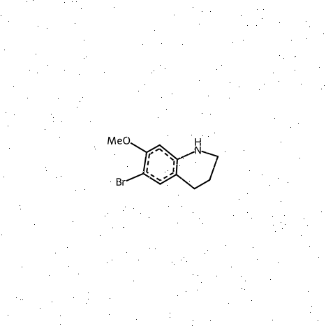 COc1cc2c(cc1Br)CCCN2